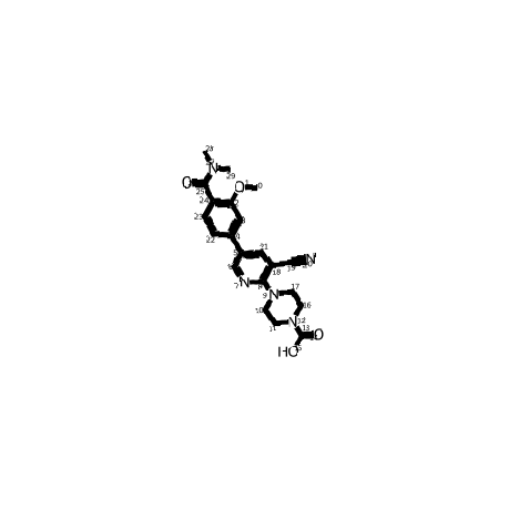 COc1cc(-c2cnc(N3CCN(C(=O)O)CC3)c(C#N)c2)ccc1C(=O)N(C)C